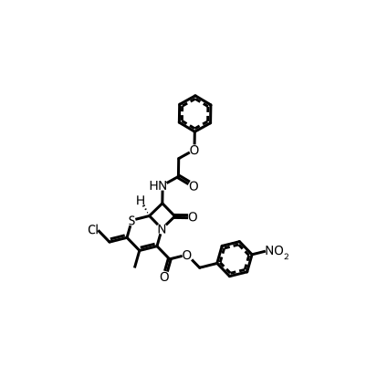 CC1=C(C(=O)OCc2ccc([N+](=O)[O-])cc2)N2C(=O)C(NC(=O)COc3ccccc3)[C@@H]2SC1=CCl